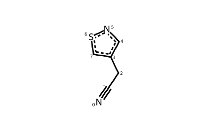 N#CCc1cnsc1